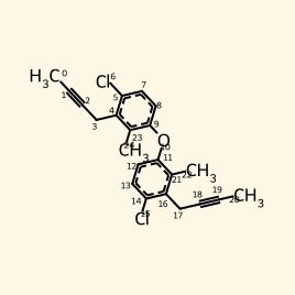 CC#CCc1c(Cl)ccc(Oc2ccc(Cl)c(CC#CC)c2C)c1C